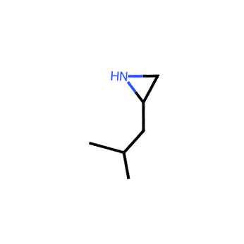 CC(C)CC1CN1